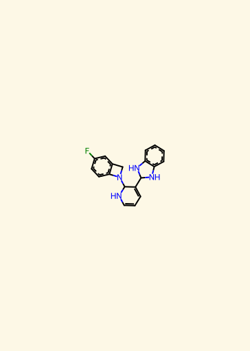 Fc1ccc2c(c1)CN2C1NC=CC=C1C1Nc2ccccc2N1